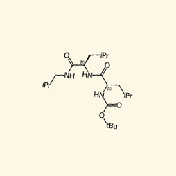 CC(C)CNC(=O)[C@@H](CC(C)C)NC(=O)[C@H](CC(C)C)NC(=O)OC(C)(C)C